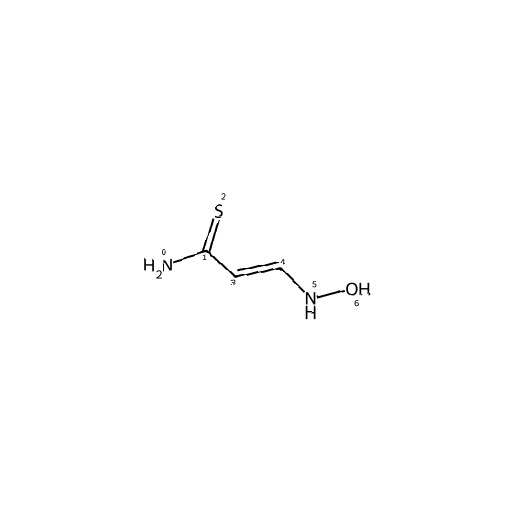 NC(=S)C=CNO